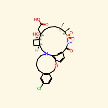 C[C@@H]1[C@@H](C)CCC[C@](O)(CC(=O)O)[C@@H]2CC[C@H]2CN2CCCCc3cc(Cl)ccc3COc3ccc(cc32)C(=O)NS1(=O)=O